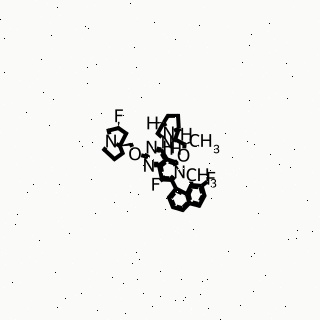 Cc1c(F)ccc2cccc(-c3nc4c5c(nc(OC[C@@]67CCCN6C[C@H](F)C7)nc5c3F)N3C[C@H]5CC[C@H](N5)[C@H]3[C@H](C)O4)c12